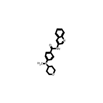 CN(c1ccc(C(=O)Nc2cnc3ccccc3c2)cc1)C1CCOCC1